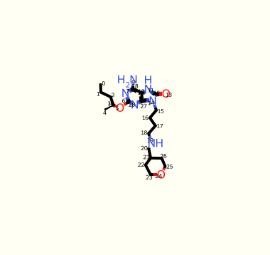 CCC[C@H](C)Oc1nc(N)c2[nH]c(=O)n(CCCCNCC3CCOCC3)c2n1